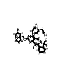 N#CC[C@H]1CN(c2nc(OC[C@@]34CCCN3C[C@H](F)C4)nc3c(F)c(-c4ccccc4C(F)(F)F)ncc23)CCN1